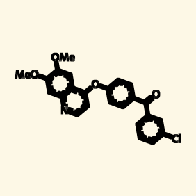 COc1cc2nccc(Oc3ccc(C(=O)c4cccc(Cl)c4)cc3)c2cc1OC